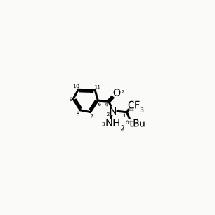 CC(C)(C)C(N(N)C(=O)c1ccccc1)C(F)(F)F